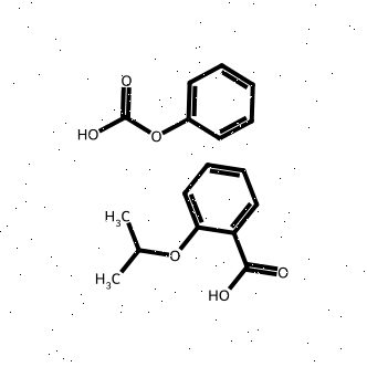 CC(C)Oc1ccccc1C(=O)O.O=C(O)Oc1ccccc1